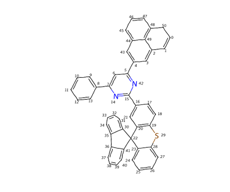 C1=Cc2cc(-c3cc(-c4ccccc4)nc(-c4ccc5c(c4)C4(c6ccccc6S5)c5ccccc5-c5ccccc54)n3)cc3cccc(c23)C1